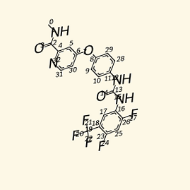 CNC(=O)c1cc(Oc2ccc(NC(=O)Nc3cc(C(F)(F)F)c(F)cc3F)cc2)ccn1